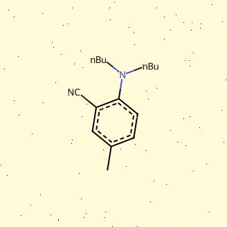 CCCCN(CCCC)c1ccc(C)cc1C#N